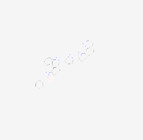 c1ccc(-c2nc3c(ccc4c(-c5ccc(-c6ccc7ccc8cccnc8c7n6)nc5)nc5ccccc5c43)o2)cc1